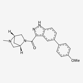 COc1ccc(-c2ccc3[nH]nc(C(=O)N4C[C@@H]5C[C@H]4CN5C)c3c2)cc1